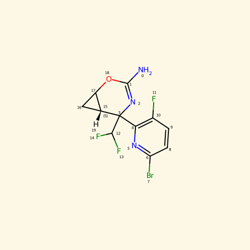 NC1=NC(c2nc(Br)ccc2F)(C(F)F)[C@@H]2CC2O1